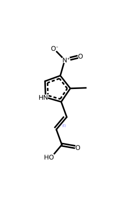 Cc1c([N+](=O)[O-])c[nH]c1/C=C/C(=O)O